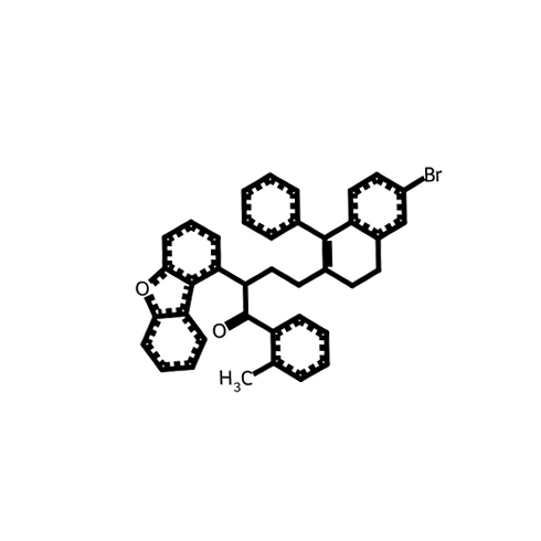 Cc1ccccc1C(=O)C(CCC1=C(c2ccccc2)c2ccc(Br)cc2CC1)c1cccc2oc3ccccc3c12